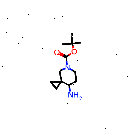 CC(C)(C)OC(=O)N1CCC(N)C2(CC2)C1